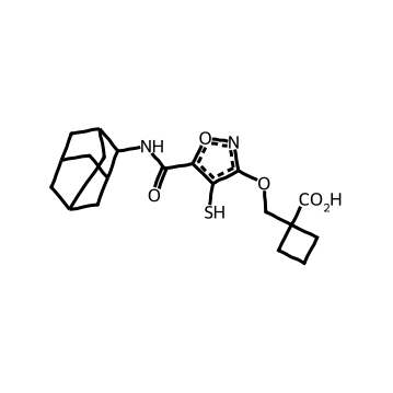 O=C(NC1C2CC3CC(C2)CC1C3)c1onc(OCC2(C(=O)O)CCC2)c1S